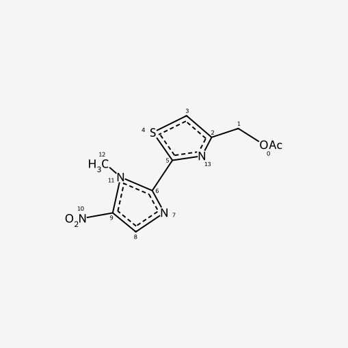 CC(=O)OCc1csc(-c2ncc([N+](=O)[O-])n2C)n1